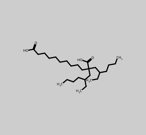 CCCCC(CC)CC(CCCCCCCCCC(=O)O)(CC(CC)CCCC)C(=O)O